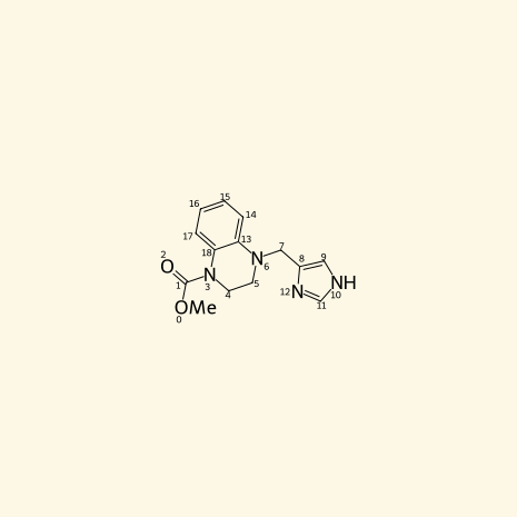 COC(=O)N1CCN(Cc2c[nH]cn2)c2ccccc21